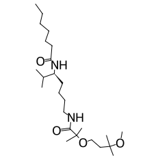 CCCCCCC(=O)N[C@@H](CCCCNC(=O)C(C)(C)OCCC(C)(C)OC)C(C)C